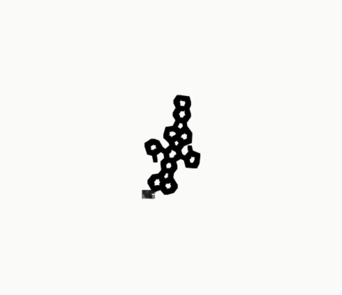 Cc1ccccc1-c1c2cc3c(cc2c(-c2ccccc2C)c2c4ccc5c6c(ccc(c12)c64)-c1cc2ccccc2cc1-5)c1ccc(C#N)c2cccc3c21